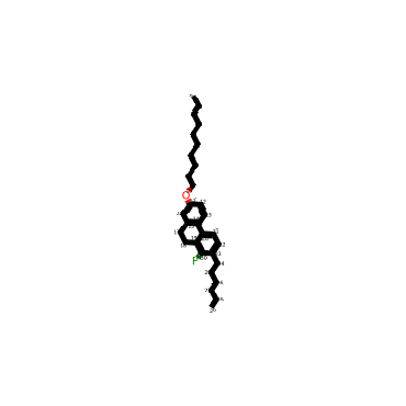 CCCCCCCCCCOc1ccc2c(c1)CCc1c-2ccc(CCCCCC)c1F